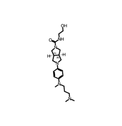 CN(C)CCCN(C)c1ccc(N2C[C@H]3CN(C(=O)NCCO)C[C@H]3C2)cc1